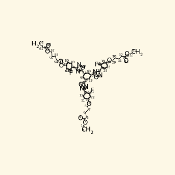 C=COC(=O)CCCCOc1ccc(-c2noc(-c3cc(-c4nc(-c5ccc(OCCCCC(=O)OC=C)cc5F)no4)cc(-c4nc(-c5ccc(OOCCCCOC(=O)C=C)cc5F)no4)c3)n2)c(F)c1